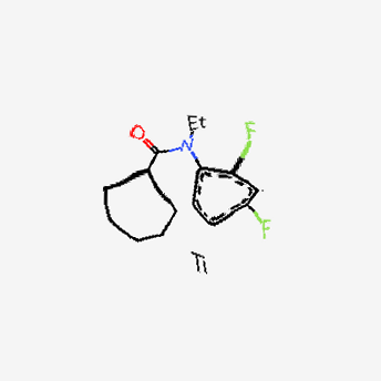 CCN(C(=O)C1CCCCC1)c1ccc(F)[c]c1F.[Ti]